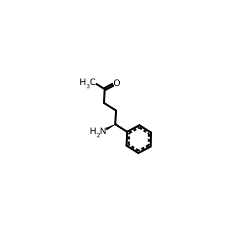 CC(=O)CC[C@H](N)c1ccccc1